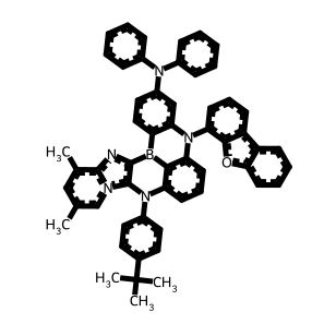 Cc1cc(C)c2nc3c(n2c1)N(c1ccc(C(C)(C)C)cc1)c1cccc2c1B3c1ccc(N(c3ccccc3)c3ccccc3)cc1N2c1cccc2c1oc1ccccc12